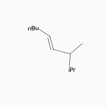 CCCCC=CC(C)C(C)C